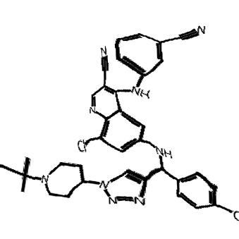 CC(C)(C)N1CCC(n2cc(C(Nc3cc(Cl)c4ncc(C#N)c(Nc5cccc(C#N)c5)c4c3)c3ccc(Cl)cc3)nn2)CC1